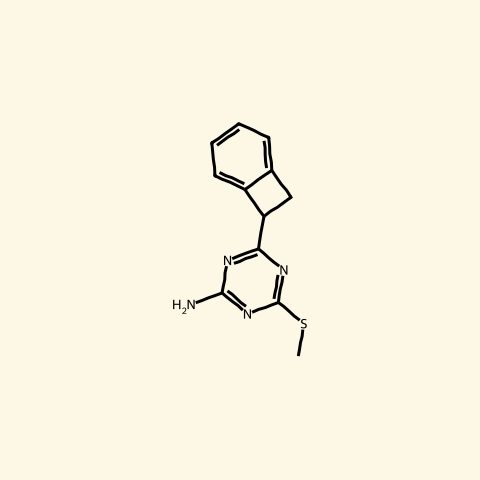 CSc1nc(N)nc(C2Cc3ccccc32)n1